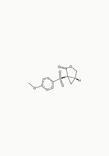 COc1ccc(S(=O)(=O)[C@]23C[C@H]2COC3=O)cc1